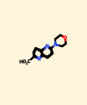 O=C(O)c1ccc2nc(N3CCOCC3)ccc2n1